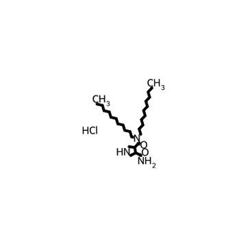 CCCCCCCCCCCCN(CCCCCCCCCCCC)C(=O)C1CNCC1C(N)=O.Cl